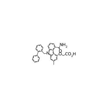 Cc1cc(OCC(=O)O)c2c3c(C(N)=O)cccc3n(Cc3ccccc3-c3ccccc3)c2c1